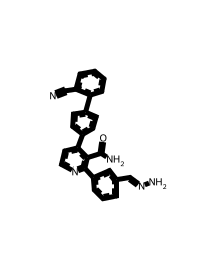 N#Cc1ccccc1-c1ccc(-c2ccnc(-c3cccc(C=NN)c3)c2C(N)=O)cc1